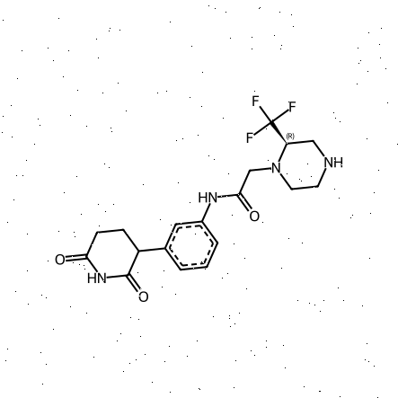 O=C1CCC(c2cccc(NC(=O)CN3CCNC[C@@H]3C(F)(F)F)c2)C(=O)N1